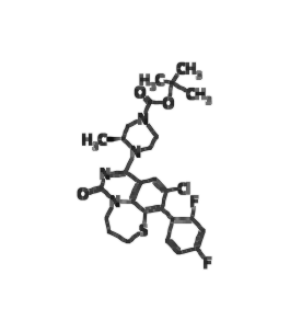 C[C@H]1CN(C(=O)OC(C)(C)C)CCN1c1nc(=O)n2c3c(c(-c4ccc(F)cc4F)c(Cl)cc13)SCCC2